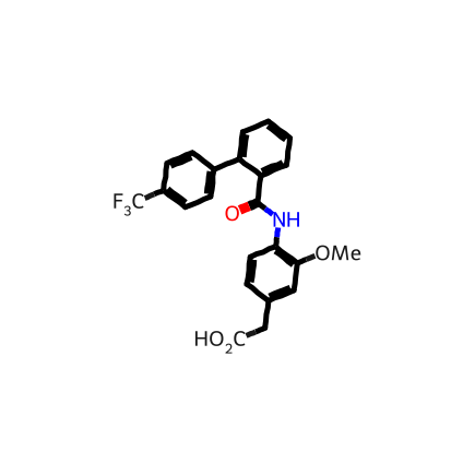 COc1cc(CC(=O)O)ccc1NC(=O)c1ccccc1-c1ccc(C(F)(F)F)cc1